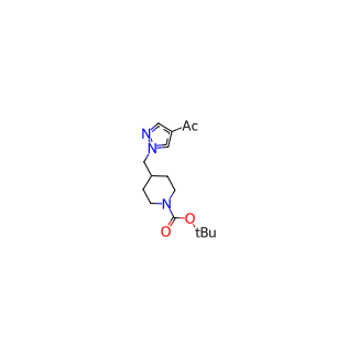 CC(=O)c1cnn(CC2CCN(C(=O)OC(C)(C)C)CC2)c1